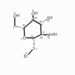 CCS[C@@H]1O[C@H](CO)[C@@H](O)[C@H](S)[C@H]1NC(C)=O